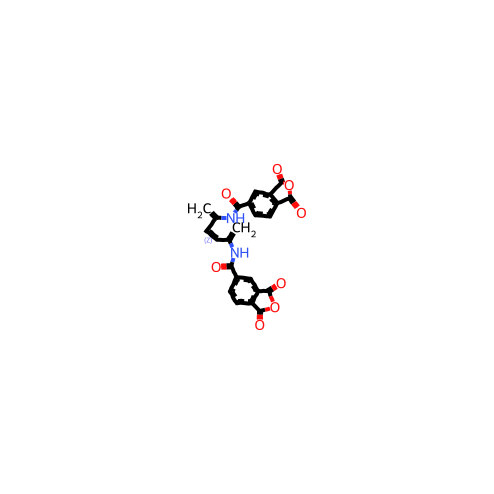 C=C(/C=C\C(=C)NC(=O)c1ccc2c(c1)C(=O)OC2=O)NC(=O)c1ccc2c(c1)C(=O)OC2=O